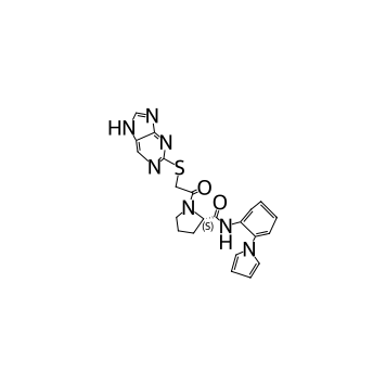 O=C(Nc1ccccc1-n1cccc1)[C@@H]1CCCN1C(=O)CSc1ncc2[nH]cnc2n1